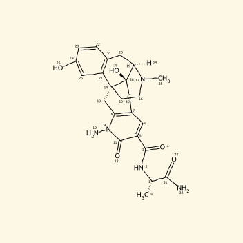 C[C@H](NC(=O)c1cc2c(n(N)c1=O)C[C@]13CCN(C)[C@H](Cc4ccc(O)cc41)[C@]3(O)C2)C(N)=O